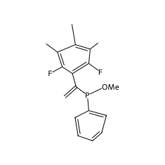 C=C(c1c(F)c(C)c(C)c(C)c1F)P(OC)c1ccccc1